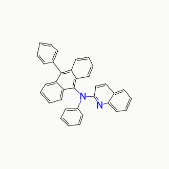 c1ccc(-c2c3ccccc3c(N(c3ccccc3)c3ccc4ccccc4n3)c3ccccc23)cc1